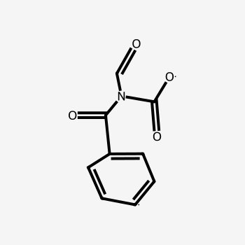 [O]C(=O)N(C=O)C(=O)c1cc[c]cc1